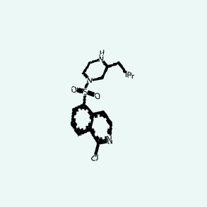 CC(C)CC1CN(S(=O)(=O)c2cccc3c(Cl)nccc23)CCN1